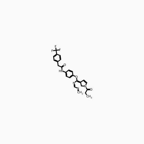 C=N/C=N\C(Oc1ccc(NC(=O)Cc2ccc(C(F)(F)F)cc2)cc1)=C1\C=CN(C(=O)CC)C1